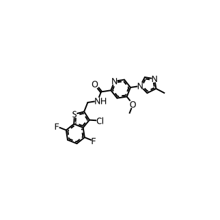 COc1cc(C(=O)NCc2sc3c(F)ccc(F)c3c2Cl)ncc1-n1cnc(C)c1